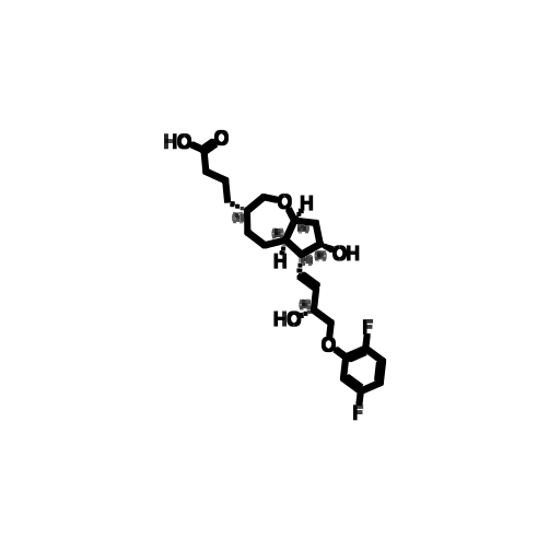 O=C(O)CCC[C@H]1CC[C@@H]2[C@@H](C=C[C@@H](O)COc3cc(F)ccc3F)[C@H](O)C[C@@H]2OC1